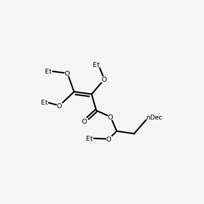 CCCCCCCCCCCC(OCC)OC(=O)C(OCC)=C(OCC)OCC